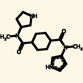 CN(C(=O)C1CCC(C(=O)N(C)C2CCNC2)CC1)c1cc[nH]c1